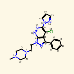 CN1CCN(CCn2nc(-c3ccccc3)c3c(Cl)c(-n4cccn4)nnc32)CC1